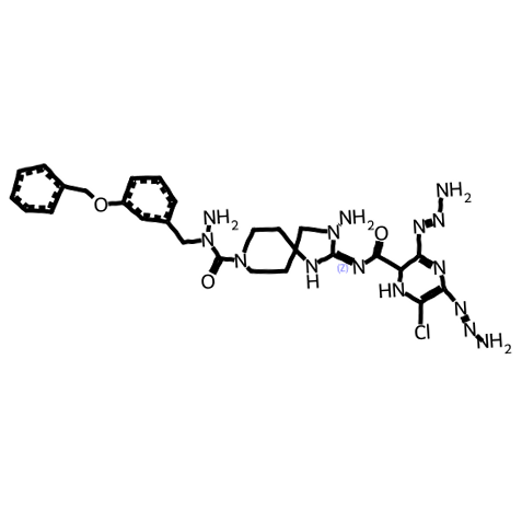 NN=NC1=NC(N=NN)=C(Cl)NC1C(=O)/N=C1/NC2(CCN(C(=O)N(N)Cc3cccc(OCc4ccccc4)c3)CC2)CN1N